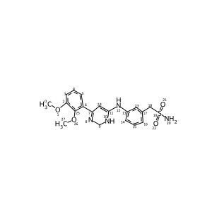 COc1cccc(C2=NCNC(Nc3cccc(CS(N)(=O)=O)c3)=C2)c1OC